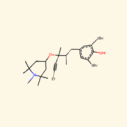 CCC#CC(C)(OC1CC(C)(C)N(C)C(C)(C)C1)C(C)Cc1cc(C(C)(C)C)c(O)c(C(C)(C)C)c1